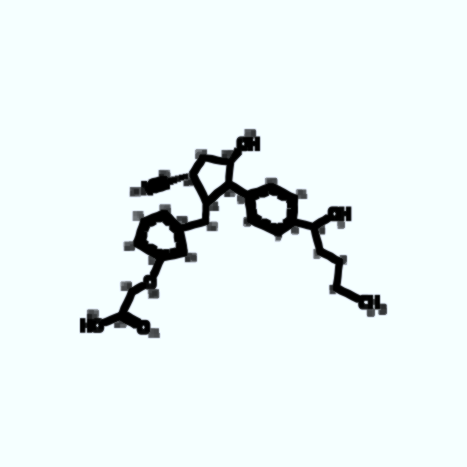 CCCCC(O)c1ccc(C2C(Cc3cccc(OCC(=O)O)c3)[C@H](C#N)C[C@H]2O)cc1